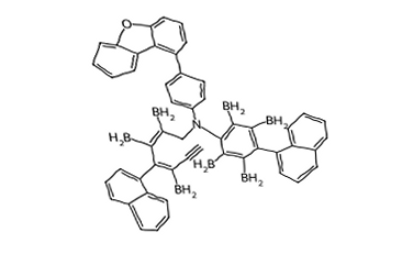 B/C(CN(c1ccc(-c2cccc3oc4ccccc4c23)cc1)c1c(B)c(B)c(-c2cccc3ccccc23)c(B)c1B)=C(B)/C(=C(/B)C#C)c1cccc2ccccc12